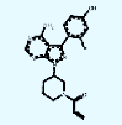 C=CC(=O)N1CCCC(n2nc(-c3ccc(O)cc3F)c3c(N)ncnc32)C1